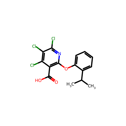 CC(C)c1ccccc1Oc1nc(Cl)c(Cl)c(Cl)c1C(=O)O